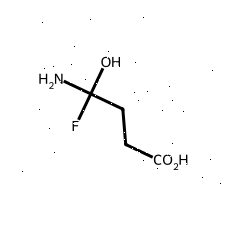 NC(O)(F)CCC(=O)O